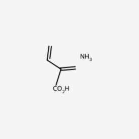 C=CC(=C)C(=O)O.N